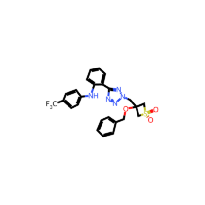 O=S1(=O)CC(Cn2nnc(-c3ccccc3Nc3ccc(C(F)(F)F)cc3)n2)(OCc2ccccc2)C1